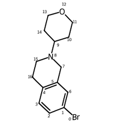 Brc1ccc2c(c1)CN(C1CCOCC1)CC2